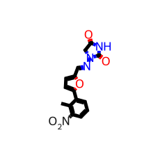 Cc1c(-c2ccc(C=NN3CC(=O)NC3=O)o2)cccc1[N+](=O)[O-]